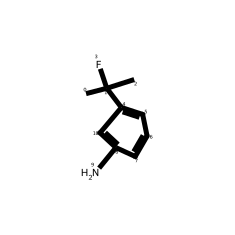 CC(C)(F)c1cccc(N)c1